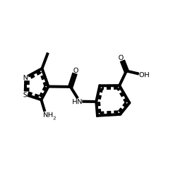 Cc1nsc(N)c1C(=O)Nc1cccc(C(=O)O)c1